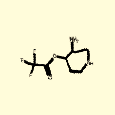 NC1CNCCC1OC(=O)C(F)(F)F